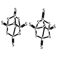 S=P12SP3(=S)SP(=S)(S1)SP(=S)(S2)S3.S=P12SP3(=S)SP(=S)(S1)SP(=S)(S2)S3